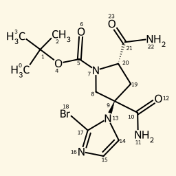 CC(C)(C)OC(=O)N1C[C@](C(N)=O)(n2ccnc2Br)C[C@H]1C(N)=O